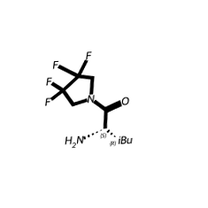 CC[C@@H](C)[C@H](N)C(=O)N1CC(F)(F)C(F)(F)C1